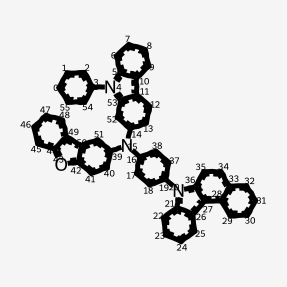 c1ccc(-n2c3ccccc3c3ccc(N(c4ccc(-n5c6ccccc6c6c7ccccc7ccc65)cc4)c4ccc5oc6ccccc6c5c4)cc32)cc1